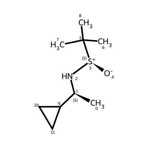 C[C@H](N[S@+]([O-])C(C)(C)C)C1CC1